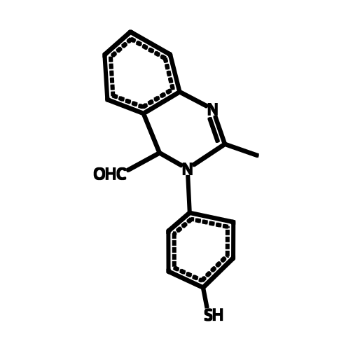 CC1=Nc2ccccc2C(C=O)N1c1ccc(S)cc1